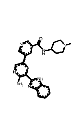 CN1CCC(NC(=O)c2cncc(-c3cnc(N)c(-c4nc5ccccc5[nH]4)n3)c2)CC1